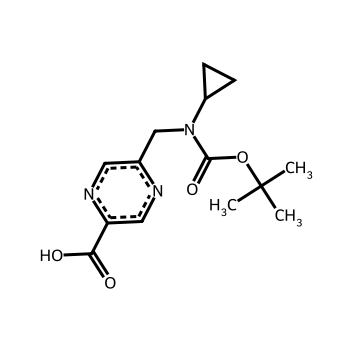 CC(C)(C)OC(=O)N(Cc1cnc(C(=O)O)cn1)C1CC1